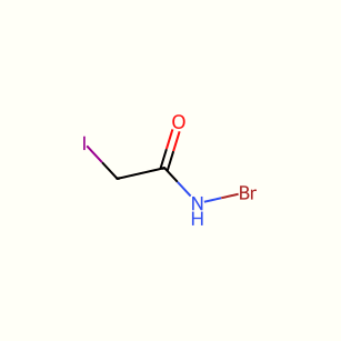 O=C(CI)NBr